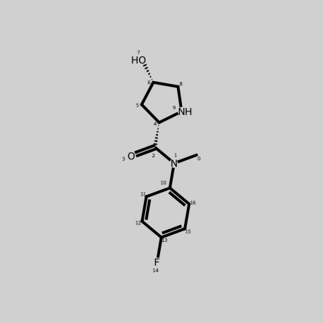 CN(C(=O)[C@@H]1C[C@H](O)CN1)c1ccc(F)cc1